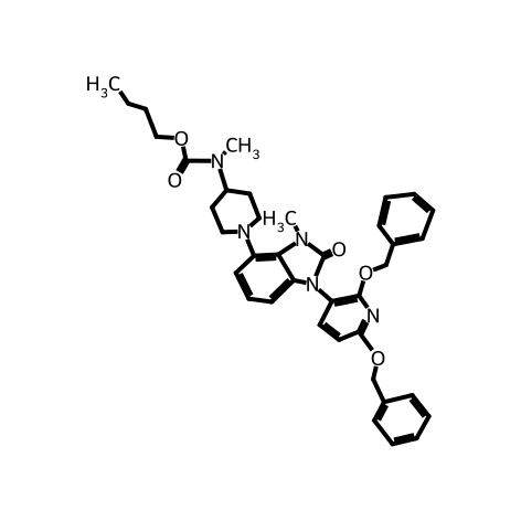 CCCCOC(=O)N(C)C1CCN(c2cccc3c2n(C)c(=O)n3-c2ccc(OCc3ccccc3)nc2OCc2ccccc2)CC1